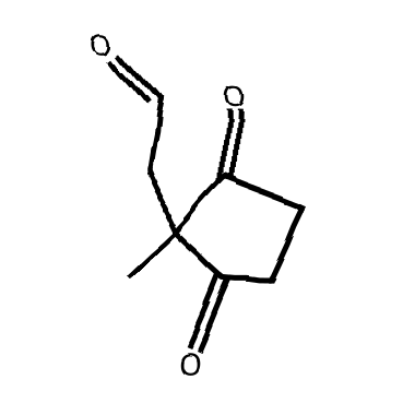 CC1(CC=O)C(=O)CCC1=O